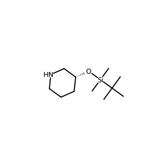 CC(C)(C)[Si](C)(C)O[C@@H]1CCCNC1